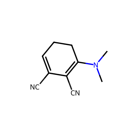 CN(C)C1=C(C#N)C(C#N)=CCC1